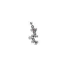 CC(C)C(=O)NCc1ccc(Cl)c(C(=O)Nc2ccc3c(c2)cc(C(=O)Nc2ccc(C#N)cc2)n3C(C)C)c1